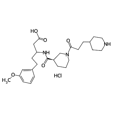 COc1cccc(CCC(CC(=O)O)NC(=O)[C@@H]2CCCN(C(=O)CCC3CCNCC3)C2)c1.Cl